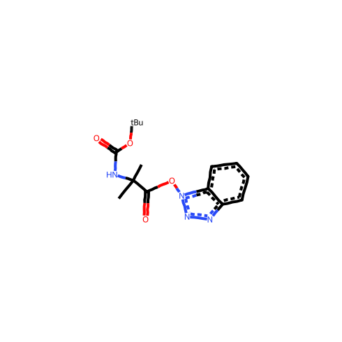 CC(C)(C)OC(=O)NC(C)(C)C(=O)On1nnc2ccccc21